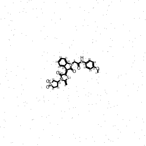 C=c1s/c(=C2\C(=O)N(CC(=O)Nc3ccc(OC)cc3)c3ccccc32)c(=O)n1C1CCS(=O)(=O)C1